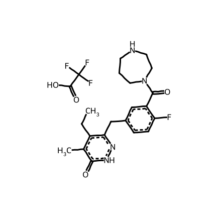 CCc1c(Cc2ccc(F)c(C(=O)N3CCCNCC3)c2)n[nH]c(=O)c1C.O=C(O)C(F)(F)F